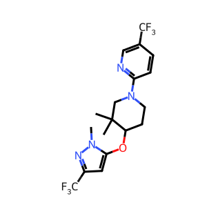 Cn1nc(C(F)(F)F)cc1OC1CCN(c2ccc(C(F)(F)F)cn2)CC1(C)C